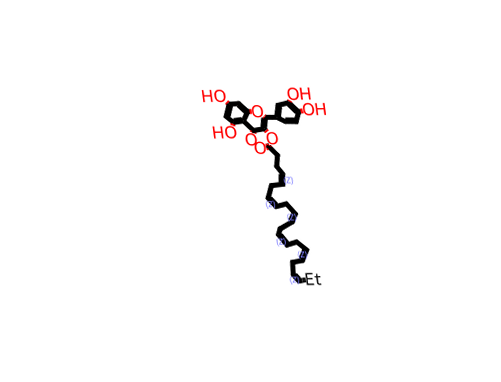 CC/C=C\C/C=C\C/C=C\C/C=C\C/C=C\C/C=C\CCC(=O)Oc1c(-c2ccc(O)c(O)c2)oc2cc(O)cc(O)c2c1=O